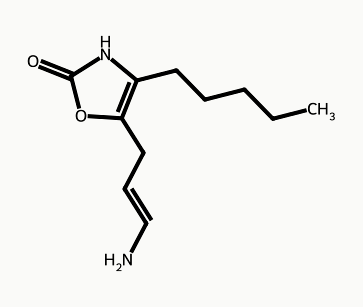 CCCCCc1[nH]c(=O)oc1CC=CN